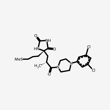 CSCCC[C@@]1(C[C@@H](C)C(=O)N2CCN(c3cc(Cl)cc(Cl)c3)CC2)NC(=O)NC1=O